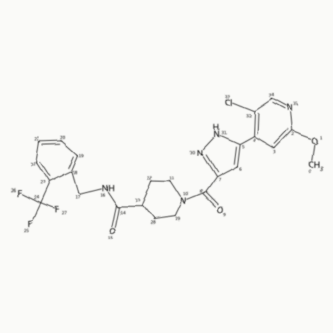 COc1cc(-c2cc(C(=O)N3CCC(C(=O)NCc4ccccc4C(F)(F)F)CC3)n[nH]2)c(Cl)cn1